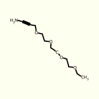 CCOCCOCCOCCOCC#CN